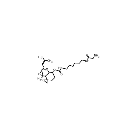 COC1C(OC(=O)NCCCCCCNC(=O)CN)CC[C@]2(CO2)C1C1(C)O[C@@H]1CC=C(C)C